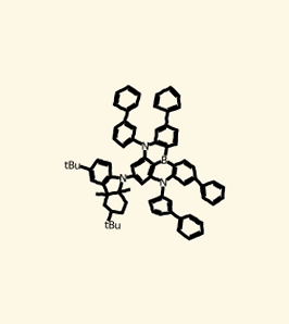 CC(C)(C)c1ccc2c(c1)C1(C)CC(C(C)(C)C)CCC1(C)N2c1cc2c3c(c1)N(c1cccc(-c4ccccc4)c1)c1cc(-c4ccccc4)ccc1B3c1ccc(-c3ccccc3)cc1N2c1cccc(-c2ccccc2)c1